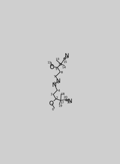 COC(CCN=NCCC(OC)C(C)(C)C#N)C(C)(C)C#N